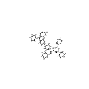 C1=C(c2ccccc2)NC(Nc2ccc(-c3ccc4c(c3)c3ccccc3n4-c3ccccc3)cc2-c2ccccc2)N=C1c1ccccc1